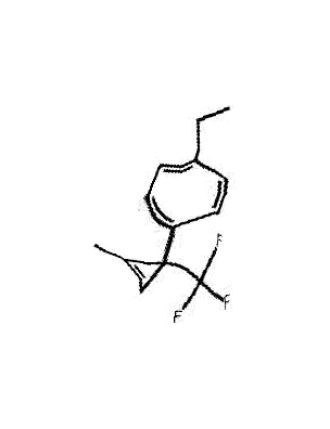 CCc1ccc(C2(C(F)(F)F)C=C2C)cc1